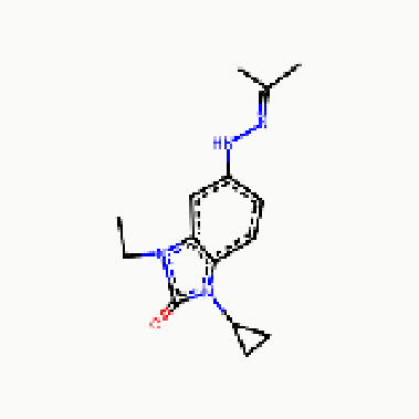 CCn1c(=O)n(C2CC2)c2ccc(NN=C(C)C)cc21